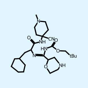 CN1CCC(C#N)(NC(=O)C(CC2CCCCC2)N=C(NC(=O)OCC(C)(C)C)C2CNCCO2)CC1